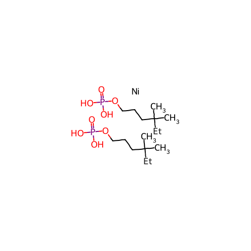 CCC(C)(C)CCCOP(=O)(O)O.CCC(C)(C)CCCOP(=O)(O)O.[Ni]